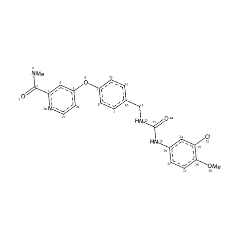 CNC(=O)c1cc(Oc2ccc(CNC(=O)Nc3ccc(OC)c(Cl)c3)cc2)ccn1